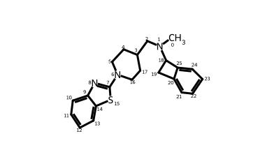 CN(CC1CCN(c2nc3ccccc3s2)CC1)C1Cc2ccccc21